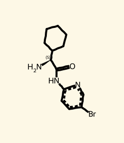 N[C@H](C(=O)Nc1ccc(Br)cn1)C1CCCCC1